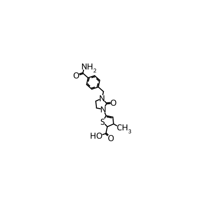 CC1C=C(N2CCN(Cc3ccc(C(N)=O)cc3)C2=O)SC1C(=O)O